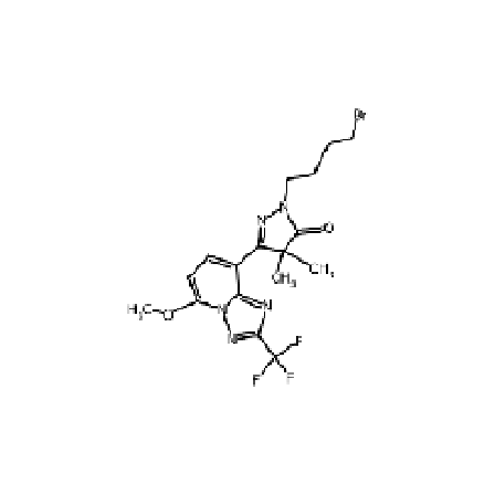 COc1ccc(C2=NN(CCCCBr)C(=O)C2(C)C)c2nc(C(F)(F)F)nn12